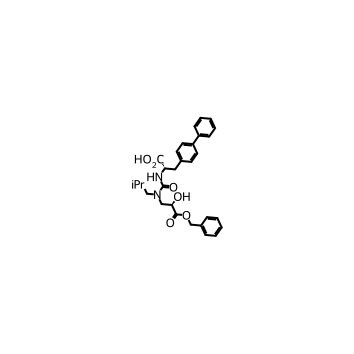 CC(C)CN(C[C@@H](O)C(=O)OCc1ccccc1)C(=O)N[C@@H](Cc1ccc(-c2ccccc2)cc1)C(=O)O